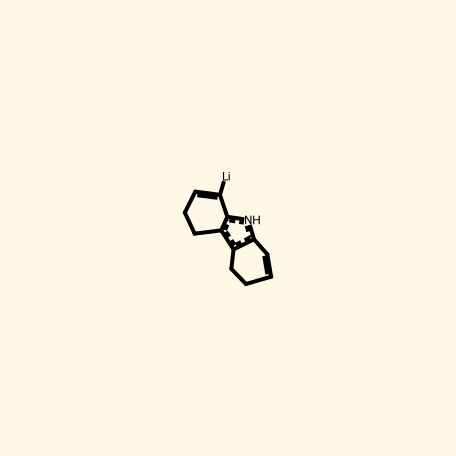 [Li][C]1=CCCc2c1[nH]c1c2CCC=C1